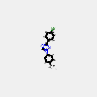 FC(F)(F)c1ccc(-n2cnc(-c3ccc(Br)cc3)n2)cc1